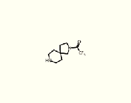 O=C(N1CCC2(CCNCC2)C1)C(F)(F)F